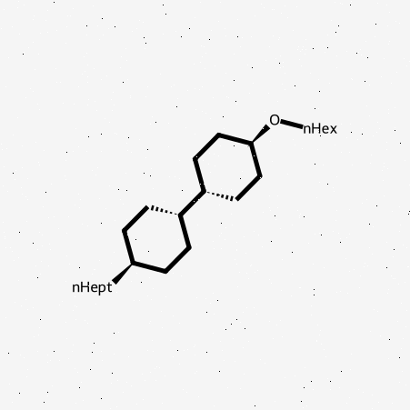 CCCCCCC[C@H]1CC[C@H]([C@H]2CC[C@H](OCCCCCC)CC2)CC1